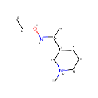 CCON=C(C)C1=CCCN(C)C1